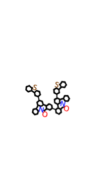 O=c1c2cc(-c3cccc4c(=O)n5c6ccccc6c6c(-c7ccc8sc9ccccc9c8c7)ccc(c34)c65)ccc2c2cc(-c3ccc4sc5ccccc5c4c3)cc3c4ccccc4n1c23